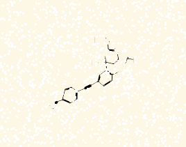 C[C@@]1(c2cc(C#Cc3ccc(C#N)cc3)ccc2F)C[C@@H](C(F)(F)F)N=C(N)O1